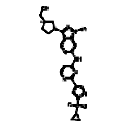 CC(C)n1nc(N2CC[C@@H](CO)C2)c2cnc(Nc3ccnc(-c4cnn(S(=O)(=O)C5CC5)c4)n3)cc21